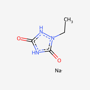 CCn1[nH]c(=O)[nH]c1=O.[Na]